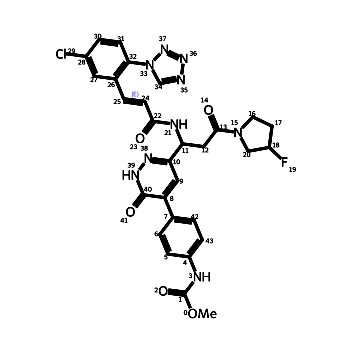 COC(=O)Nc1ccc(-c2cc(C(CC(=O)N3CCC(F)C3)NC(=O)/C=C/c3cc(Cl)ccc3-n3cnnn3)n[nH]c2=O)cc1